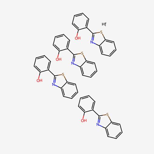 Oc1ccccc1-c1nc2ccccc2s1.Oc1ccccc1-c1nc2ccccc2s1.Oc1ccccc1-c1nc2ccccc2s1.Oc1ccccc1-c1nc2ccccc2s1.[Hf]